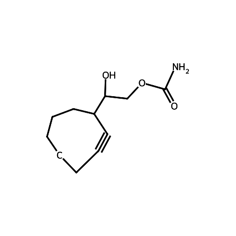 NC(=O)OCC(O)C1C#CCCCCC1